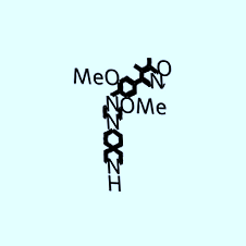 COc1cc(-c2cn(C)c(=O)c(C)c2C)cc(OC)c1CN1CCN(C2CCC3(CCNCC3)CC2)CC1